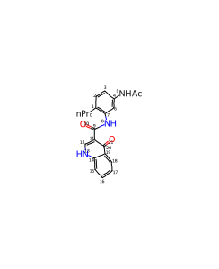 CCCc1ccc(NC(C)=O)cc1NC(=O)c1c[nH]c2ccccc2c1=O